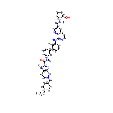 Cc1c(Nc2nccc3cc(CN[C@H]4CCC[C@@H]4O)cnc23)cccc1-c1cccc(N(Cl)C(=O)c2nc3c(n2C)CCN(CC2CCC(C(=O)O)CC2)C3)c1